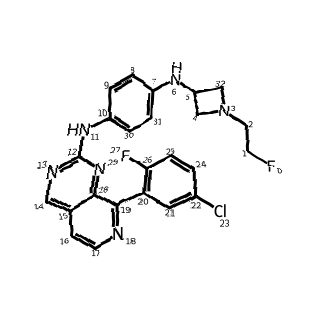 FCCN1CC(Nc2ccc(Nc3ncc4ccnc(-c5cc(Cl)ccc5F)c4n3)cc2)C1